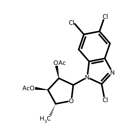 CC(=O)O[C@@H]1[C@@H](C)OC(n2c(Cl)nc3cc(Cl)c(Cl)cc32)[C@@H]1OC(C)=O